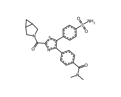 CN(C)C(=O)c1ccc(-c2nc(C(=O)N3CC4CC4C3)sc2-c2ccc(S(N)(=O)=O)cc2)cc1